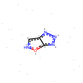 c1[nH]oc2nnnc1-2